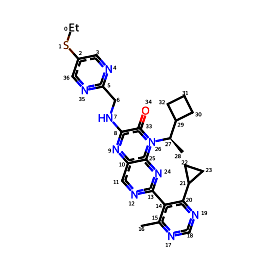 CCSc1cnc(CNc2nc3cnc(-c4c(C)ncnc4C4CC4)nc3n([C@H](C)C3CCC3)c2=O)nc1